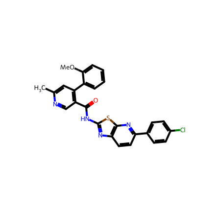 COc1ccccc1-c1cc(C)ncc1C(=O)Nc1nc2ccc(-c3ccc(Cl)cc3)nc2s1